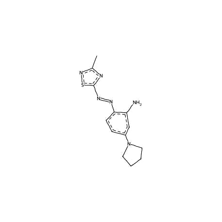 Cc1nsc(N=Nc2ccc(N3CCCC3)cc2N)n1